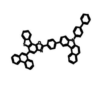 c1ccc(-c2ccc(-n3c4ccc(-c5ccc(-c6nc7cc(-c8cc9ccccc9c9ccccc89)c8sc9ccccc9c8c7o6)cc5)cc4c4c5ccccc5ccc43)cc2)cc1